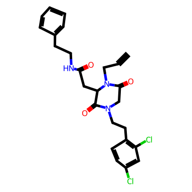 C#CCN1C(=O)CN(CCc2ccc(Cl)cc2Cl)C(=O)C1CC(=O)NCCc1ccccc1